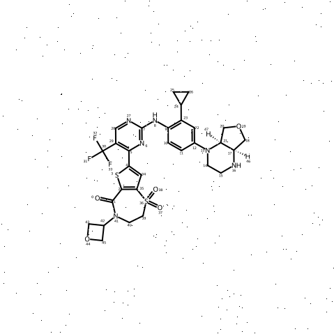 O=C1c2sc(-c3nc(Nc4ccc(N5CCN[C@@H]6COC[C@@H]65)cc4C4CC4)ncc3C(F)(F)F)cc2S(=O)(=O)CCN1C1COC1